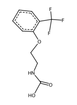 O=C(O)NCCOc1ccccc1C(F)(F)F